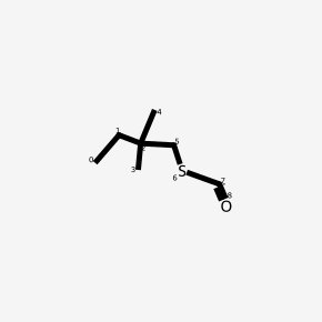 CCC(C)(C)CS[C]=O